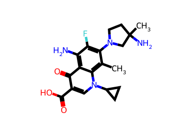 Cc1c(N2CCC(C)(N)C2)c(F)c(N)c2c(=O)c(C(=O)O)cn(C3CC3)c12